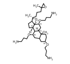 C[C@H](CCCC1(C)CO1)C1CC[C@H]2C3[C@H](OCCCN)CC4C[C@H](OCCCN)CCC4(C)[C@H]3C[C@H](OCCCN)C12C